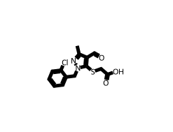 Cc1nn(Cc2ccccc2Cl)c(SCC(=O)O)c1C=O